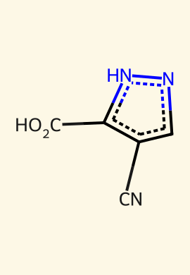 N#Cc1cn[nH]c1C(=O)O